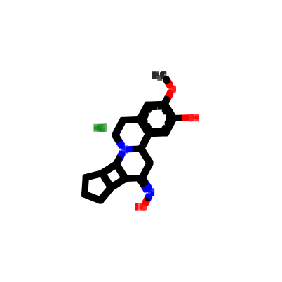 COc1cc2c(cc1O)C1CC(=NO)C3C4CCCC4C3N1CC2.Cl